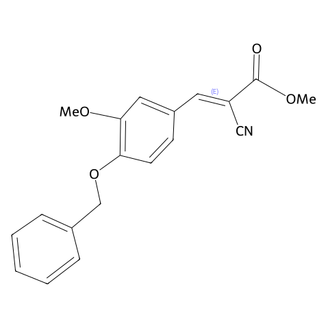 COC(=O)/C(C#N)=C/c1ccc(OCc2ccccc2)c(OC)c1